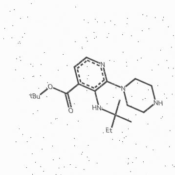 CCC(C)(C)Nc1c(C(=O)OC(C)(C)C)ccnc1N1CCNCC1